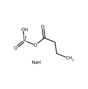 CCCC(=O)O[PH](=O)O.[NaH]